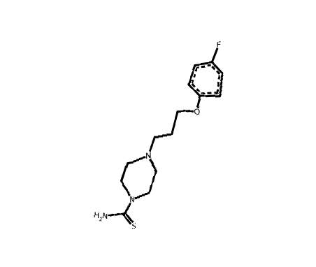 NC(=S)N1CCN(CCCOc2ccc(F)cc2)CC1